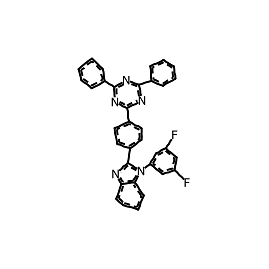 Fc1cc(F)cc(-n2c(-c3ccc(-c4nc(-c5ccccc5)nc(-c5ccccc5)n4)cc3)nc3ccccc32)c1